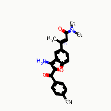 CCN(CC)C(=O)/C=C(\C)c1ccc2oc(C(=O)c3ccc(C#N)cc3)c(N)c2c1